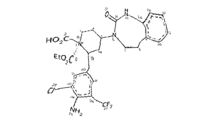 CCOC(=O)[N@+]1(C(=O)O)CCC(N2CCc3ccccc3NC2=O)CC1c1cc(Cl)c(N)c(C(F)(F)F)c1